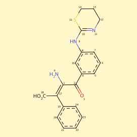 NC(C(=O)c1cccc(NC2=NCCCS2)c1)=C(C(=O)O)c1ccccc1